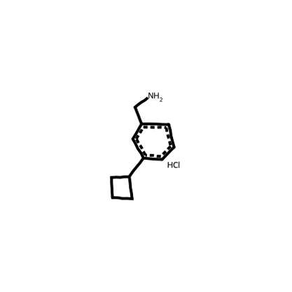 Cl.NCc1cccc(C2CCC2)c1